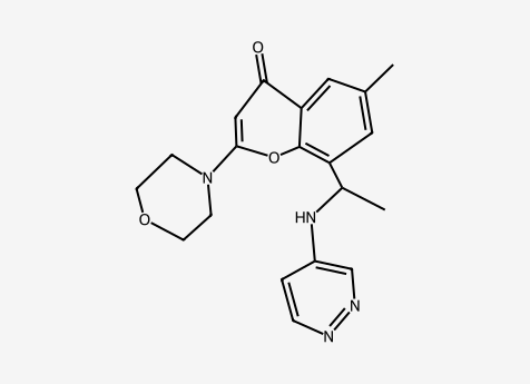 Cc1cc(C(C)Nc2ccnnc2)c2oc(N3CCOCC3)cc(=O)c2c1